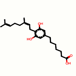 CC(C)=CCCC(C)=CCc1c(O)cc(CCCCCCC(=O)O)cc1O